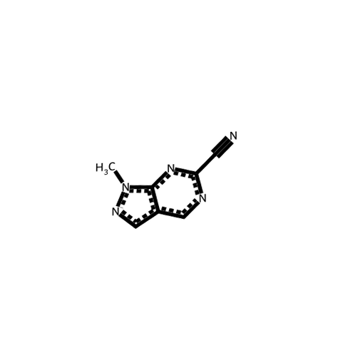 Cn1ncc2cnc(C#N)nc21